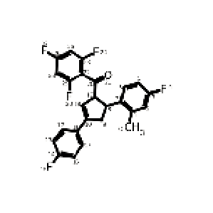 Cc1cc(F)ccc1C1CC(c2ccc(F)cc2)=CC1C(=O)c1c(F)cc(F)cc1F